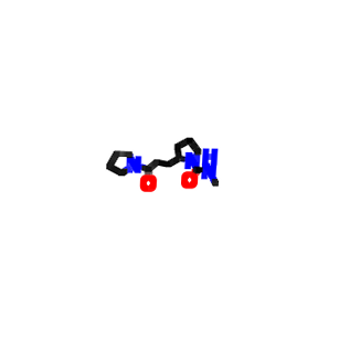 CNC(=O)N1CCCC1CCC(=O)N1CCCC1